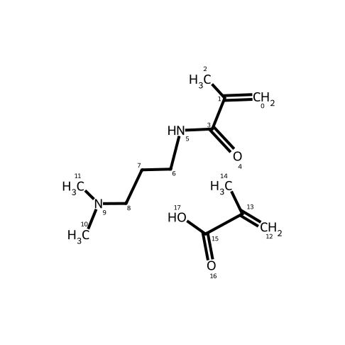 C=C(C)C(=O)NCCCN(C)C.C=C(C)C(=O)O